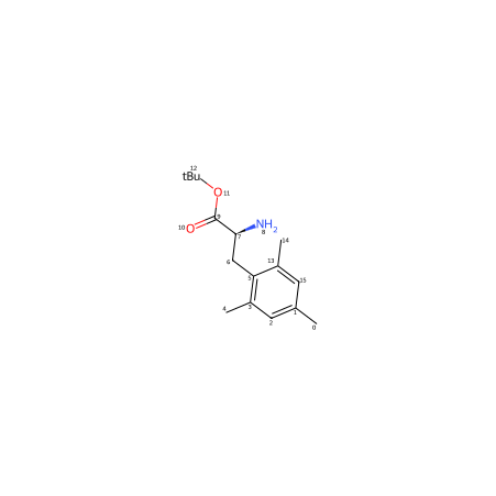 Cc1cc(C)c(C[C@H](N)C(=O)OC(C)(C)C)c(C)c1